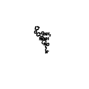 CN(C)C/C=C/C(=O)N1CCc2c([nH]c3c(C(N)=O)c(-c4ccc(Oc5ccccc5)cc4)nn23)C1